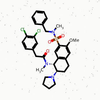 COc1cc2c(cc1S(=O)(=O)N(C)Cc1ccccc1)[C@@H](N(C)C(=O)Cc1ccc(Cl)c(Cl)c1)[C@H](N1CCCC1)CC2